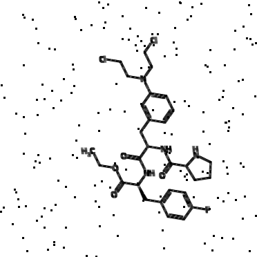 CCOC(=O)[C@H](Cc1ccc(F)cc1)NC(=O)C(Cc1cccc(N(CCCl)CCCl)c1)NC(=O)C1CCCN1